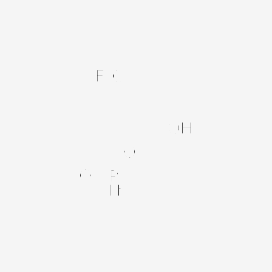 C[PH](=O)OCC(CO)C(F)(F)F